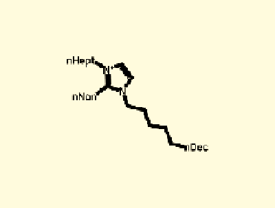 CCCCCCCCCCCCCCCn1cc[n+](CCCCCCC)c1CCCCCCCCC